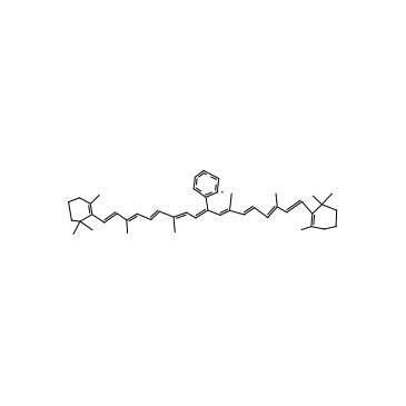 CC1=C(/C=C/C(C)=C/C=C/C(C)=C/C=C(/C=C(C)/C=C/C=C(C)/C=C/C2=C(C)CCCC2(C)C)c2[c]cccc2)C(C)(C)CCC1